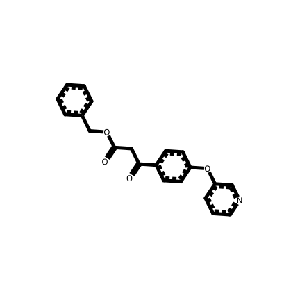 O=C(CC(=O)c1ccc(Oc2cccnc2)cc1)OCc1ccccc1